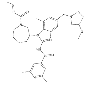 C/C=C/C(=O)N1CCCCC(n2c(NC(=O)c3cc(C)nc(C)c3)nc3cc(CN4CCC(OC)C4)cc(C)c32)C1